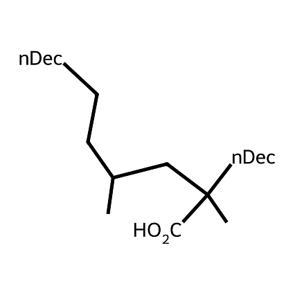 CCCCCCCCCCCCC(C)CC(C)(CCCCCCCCCC)C(=O)O